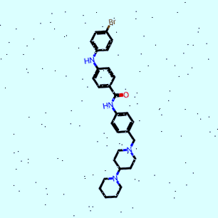 O=C(Nc1ccc(CN2CCC(N3CCCCC3)CC2)cc1)c1ccc(Nc2ccc(Br)cc2)cc1